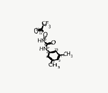 Cc1cc(C)cc(NC(=O)NOC(=O)C(F)(F)F)c1